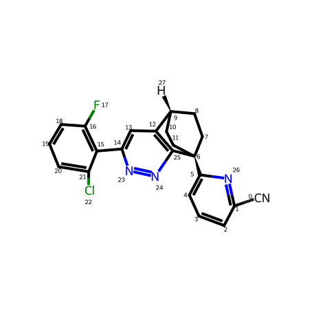 N#Cc1cccc([C@]23CC[C@H](CC2)c2cc(-c4c(F)cccc4Cl)nnc23)n1